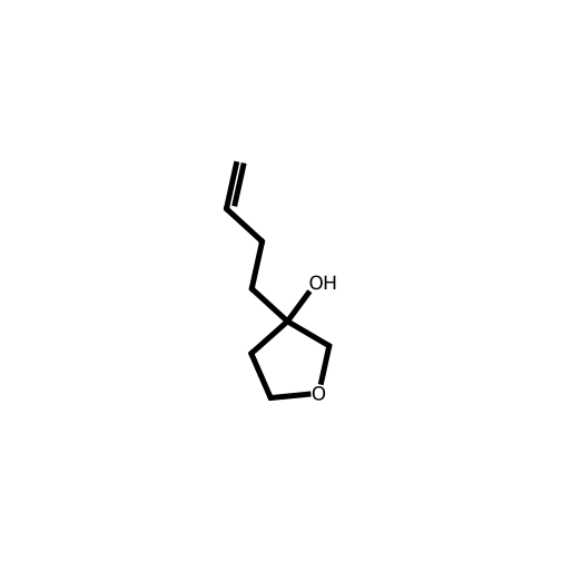 C=CCCC1(O)CCOC1